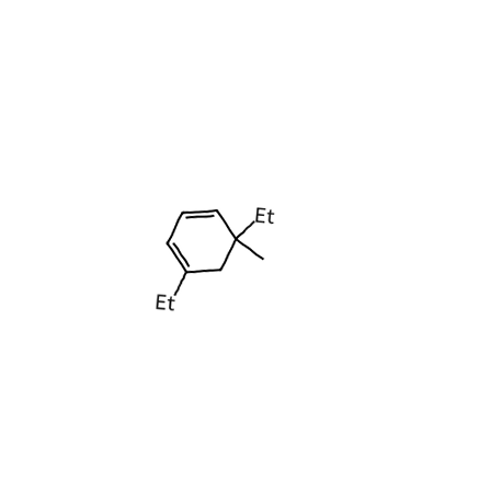 CCC1=CC=CC(C)(CC)C1